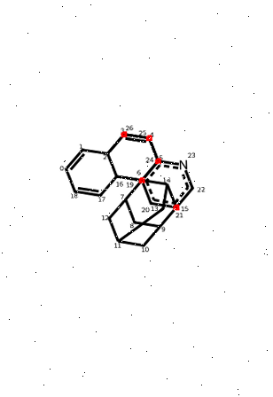 C1=CC23C=CCC4(C5CC6CC(C5)CC4C6)C2(C=C1)c1cccnc1C=C3